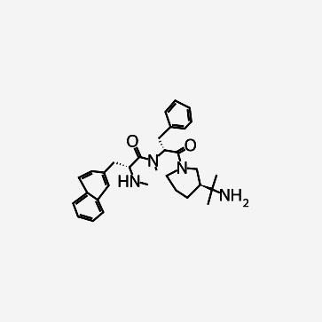 CN[C@H](Cc1ccc2ccccc2c1)C(=O)N(C)[C@H](Cc1ccccc1)C(=O)N1CCC[C@H](C(C)(C)N)C1